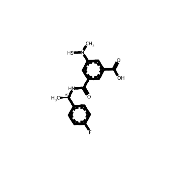 C[C@@H](NC(=O)c1cc(C(=O)O)cc(N(C)S)c1)c1ccc(F)cc1